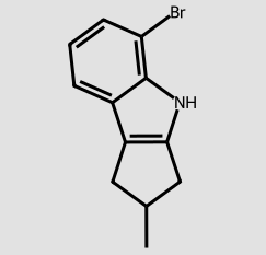 CC1Cc2[nH]c3c(Br)cccc3c2C1